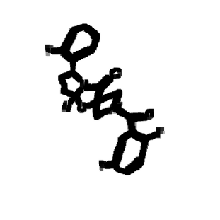 O=C(c1cc(F)ccc1F)N1CC2(C1)O[C@@H]1CC[C@@H](c3ccccc3F)N1C2=O